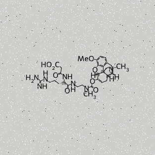 COc1ccc2c3c1O[C@H]1C(OC(=O)N(C)CCNC(=O)[C@H](CCCNC(=N)N)NC(=O)CC(=O)O)=CC[C@H]4[C@@H](C2)N(C)CC[C@]314